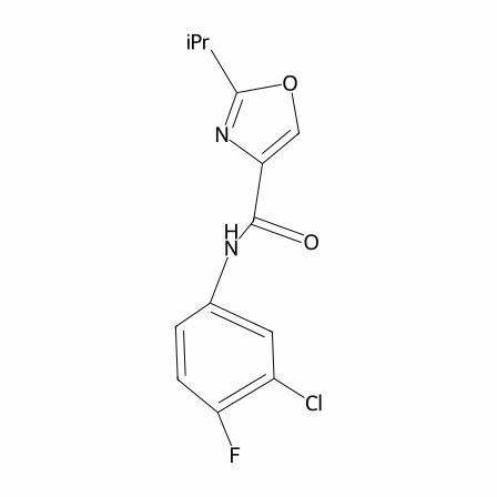 CC(C)c1nc(C(=O)Nc2ccc(F)c(Cl)c2)co1